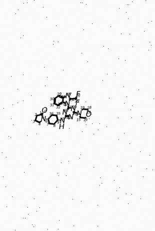 O=C1CCCN1[C@H]1CC[C@H](Nc2nc(N3CCOCC3)nc(-n3c(C(F)F)nc4ccccc43)n2)CC1